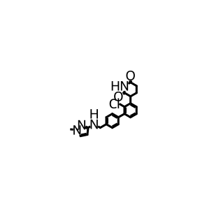 Cn1ccc(NCc2ccc(-c3cccc(C4CCC(=O)NC4=O)c3Cl)cc2)n1